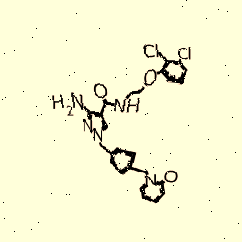 Nc1nn(Cc2ccc(Cn3ccccc3=O)cc2)cc1C(=O)NCCOc1cccc(Cl)c1Cl